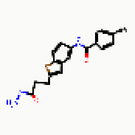 CC(C)c1ccc(C(=O)Nc2ccc3sc(CCC(=O)NN)cc3c2)cc1